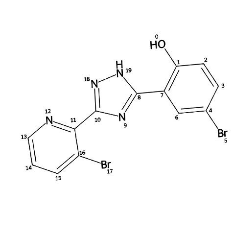 Oc1ccc(Br)cc1-c1nc(-c2ncccc2Br)n[nH]1